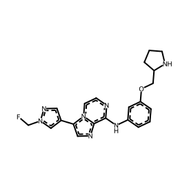 FCn1cc(-c2cnc3c(Nc4cccc(OCC5CCCN5)c4)nccn23)cn1